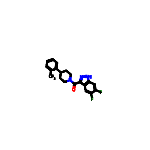 O=C(c1n[nH]c2cc(F)c(F)cc12)N1CCC(c2ccccc2C(F)(F)F)CC1